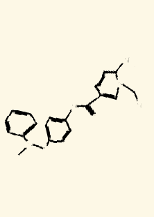 CN(Sc1ccc(NC(=O)C2=CN(CN)C(N)C=C2)cc1)c1ccccc1